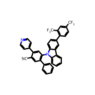 N#Cc1cc(-c2ccccc2)c(-n2c3ccccc3c3cc(-c4ccc(C(F)(F)F)cc4C(F)(F)F)ccc32)cc1-c1ccncc1